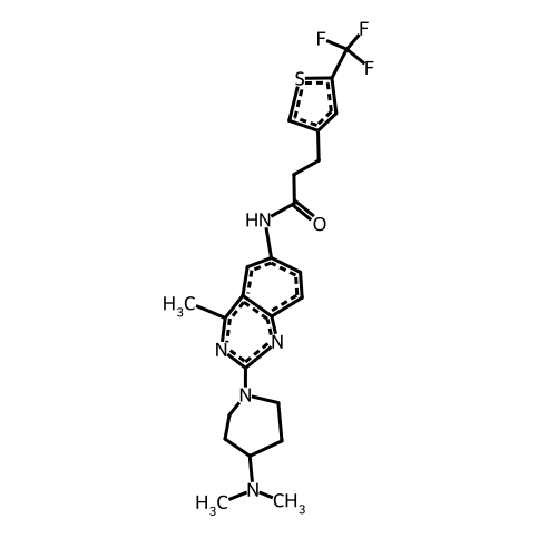 Cc1nc(N2CCC(N(C)C)CC2)nc2ccc(NC(=O)CCc3csc(C(F)(F)F)c3)cc12